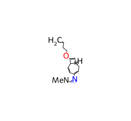 C=CCCOC1=C[C@@H]2CC=C(/N=C\NC)C=CC12